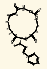 CC(C=Cc1ccncc1)[C@H]1OC(=O)CCNC(=O)CNC(=O)/C=C/CCOC1=O